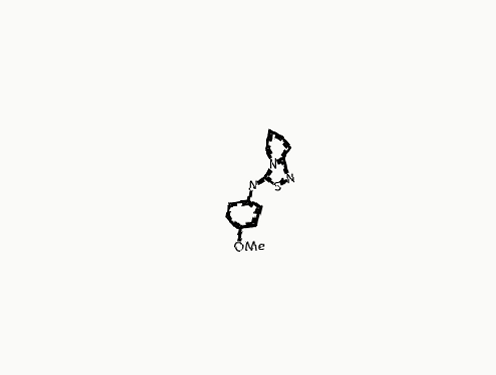 COc1ccc(N=c2snc3ccccn23)cc1